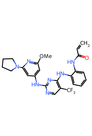 C=CC(=O)Nc1ccccc1Nc1nc(Nc2cc(OC)nc(N3CCCC3)c2)ncc1C(F)(F)F